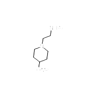 COC1CCN(CCNC(C)=O)CC1